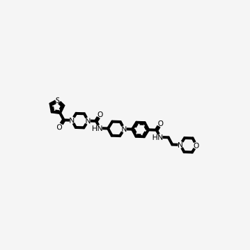 O=C(NCCN1CCOCC1)c1ccc(N2CCC(NC(=O)N3CCN(C(=O)c4ccsc4)CC3)CC2)cc1